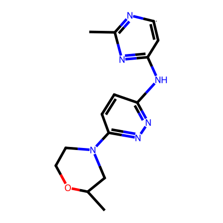 Cc1n[c]cc(Nc2ccc(N3CCOC(C)C3)nn2)n1